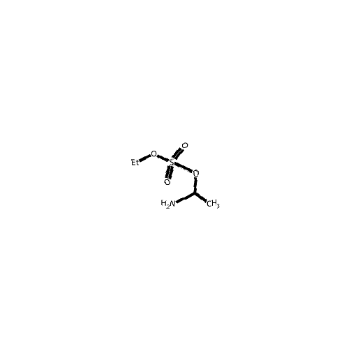 CCOS(=O)(=O)OC(C)N